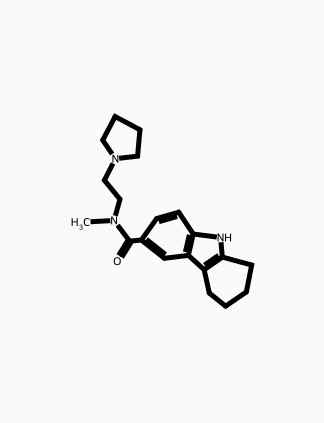 CN(CCN1CCCC1)C(=O)c1ccc2[nH]c3c(c2c1)CCCC3